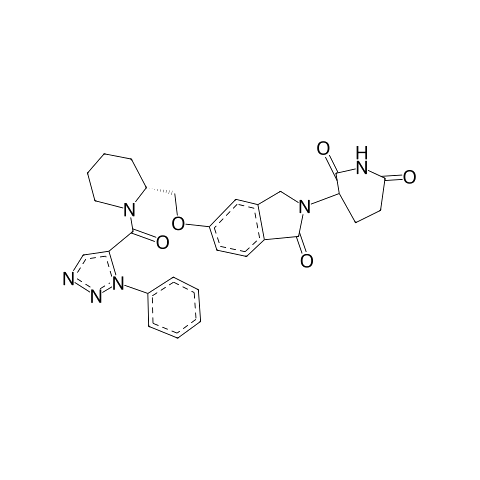 O=C1CCC(N2Cc3cc(OC[C@H]4CCCCN4C(=O)c4cnnn4-c4ccccc4)ccc3C2=O)C(=O)N1